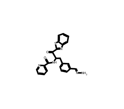 NN=Cc1cccc(CC(NC(=O)c2ccccn2)C(=O)c2nc3ccccc3s2)c1